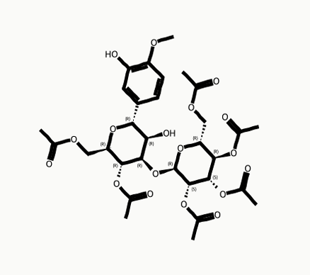 COc1ccc([C@H]2O[C@H](COC(C)=O)[C@@H](OC(C)=O)[C@H](O[C@H]3O[C@H](COC(C)=O)[C@@H](OC(C)=O)[C@H](OC(C)=O)[C@@H]3OC(C)=O)[C@@H]2O)cc1O